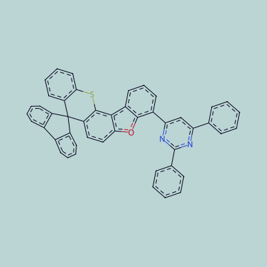 c1ccc(-c2cc(-c3cccc4c3oc3ccc5c(c34)Sc3ccccc3C53c4ccccc4-c4ccccc43)nc(-c3ccccc3)n2)cc1